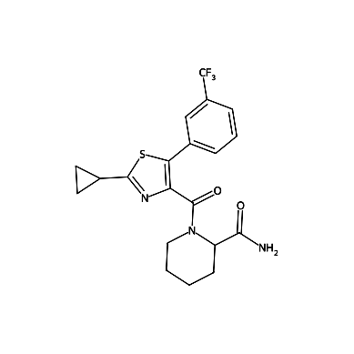 NC(=O)C1CCCCN1C(=O)c1nc(C2CC2)sc1-c1cccc(C(F)(F)F)c1